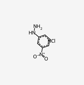 Cl.NNc1cccc([N+](=O)[O-])c1